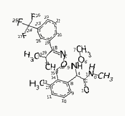 CNC(=O)C(NOC)c1cccc(C)c1CO/N=C(/c1cccc(C(F)(F)F)c1)C(C)C